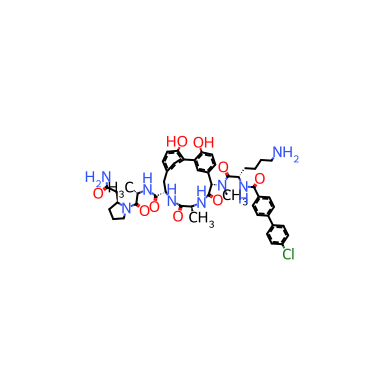 C[C@@H]1NC(=O)[C@@H](N(C)C(=O)[C@H](CCCCN)NC(=O)c2ccc(-c3ccc(Cl)cc3)cc2)c2ccc(O)c(c2)-c2cc(ccc2O)C[C@@H](C(=O)N[C@@H](C)C(=O)N2CCC[C@H]2CC(N)=O)NC1=O